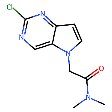 CN(C)C(=O)Cn1ccc2nc(Cl)ncc21